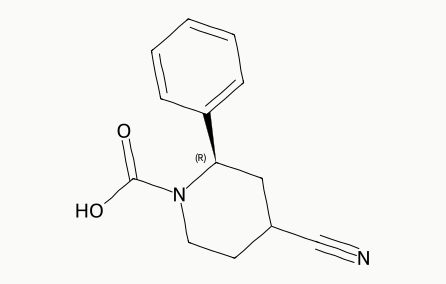 N#CC1CCN(C(=O)O)[C@@H](c2ccccc2)C1